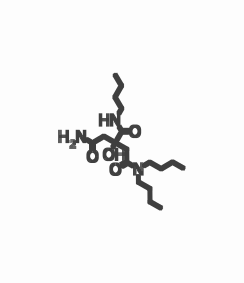 CCCCNC(=O)C(O)(CC(N)=O)CC(=O)N(CCCC)CCCC